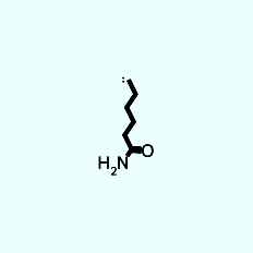 [CH]CCCCC(N)=O